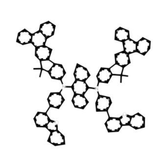 CC1(C)c2cc(N(c3ccc(-c4cccc5c4oc4ccccc45)cc3)c3c4ccccc4c(N(c4ccc(-c5cccc6c5oc5ccccc56)cc4)c4ccc5c(c4)C(C)(C)c4cc6c7ccccc7c7ccccc7c6cc4-5)c4ccccc34)ccc2-c2cc3c4ccccc4c4ccccc4c3cc21